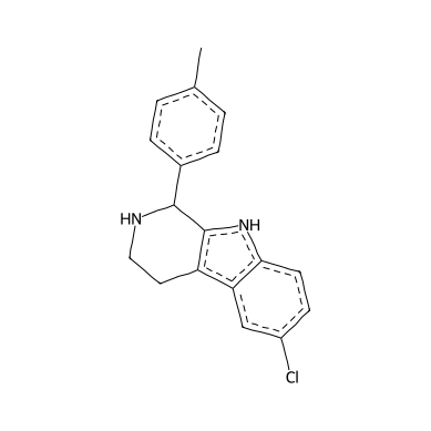 Cc1ccc(C2NCCc3c2[nH]c2ccc(Cl)cc32)cc1